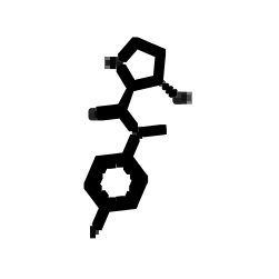 CN(C(=O)[C@H]1NCC[C@@H]1O)c1ccc(F)cc1